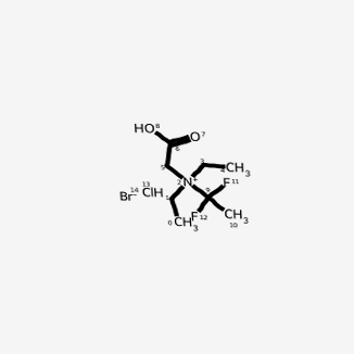 CC[N+](CC)(CC(=O)O)C(C)(F)F.Cl.[Br-]